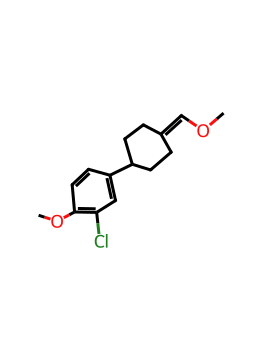 COC=C1CCC(c2ccc(OC)c(Cl)c2)CC1